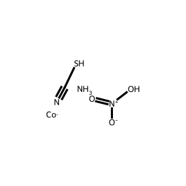 N.N#CS.O=[N+]([O-])O.[Co]